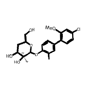 COc1cc(Cl)ccc1-c1ccc(OC2OC(CO)CC(O)[C@]2(C)O)c(C)c1